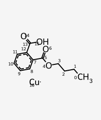 CCCCOC(=O)c1ccccc1C(=O)O.[Cu]